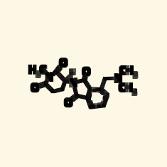 CN(C)Cc1cccc2c1C(=O)N(C1(F)CCC(=O)N(C)C1=O)C2=O